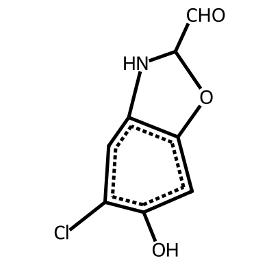 O=CC1Nc2cc(Cl)c(O)cc2O1